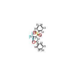 O=C(CC(C(F)(F)F)S(=O)(=O)c1ccccc1)c1ccccc1